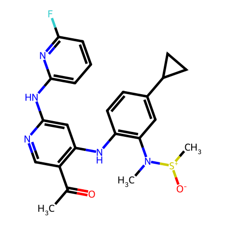 CC(=O)c1cnc(Nc2cccc(F)n2)cc1Nc1ccc(C2CC2)cc1N(C)[S+](C)[O-]